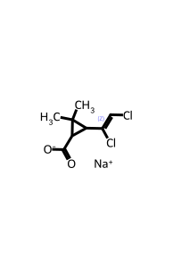 CC1(C)C(C(=O)[O-])C1/C(Cl)=C/Cl.[Na+]